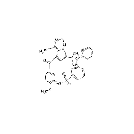 COc1ccc(C(=O)c2cn(C(C)C)c3ncnc(N)c23)cc1NS(=O)(=O)c1cccc(Oc2ccccn2)c1